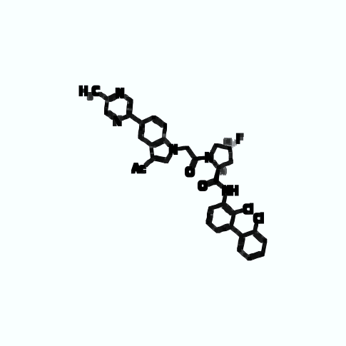 CC(=O)c1cn(CC(=O)N2C[C@H](F)C[C@H]2C(=O)Nc2cccc(-c3ccccc3Cl)c2Cl)c2ccc(-c3cnc(C)cn3)cc12